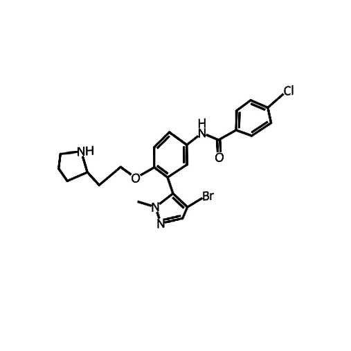 Cn1ncc(Br)c1-c1cc(NC(=O)c2ccc(Cl)cc2)ccc1OCCC1CCCN1